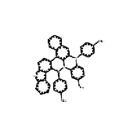 CC(C)(C)c1ccc(N2B3c4cc(C(C)(C)C)ccc4N(c4ccc(C(C)(C)C)cc4)c4cc5ccccc5c(c43)-c3ccc4oc5ccccc5c4c32)cc1